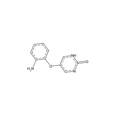 Nc1ccccc1Oc1cnc(=O)[nH]c1